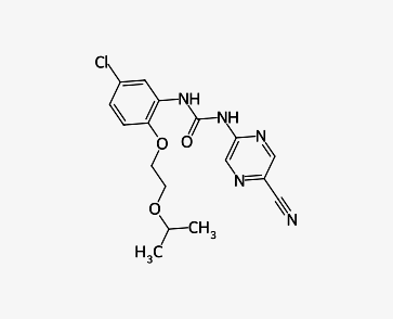 CC(C)OCCOc1ccc(Cl)cc1NC(=O)Nc1cnc(C#N)cn1